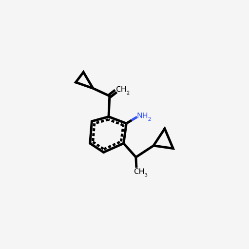 C=C(c1cccc(C(C)C2CC2)c1N)C1CC1